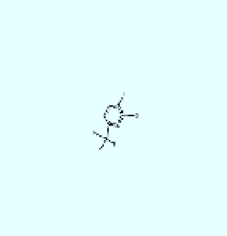 CC(F)(F)c1ncc(F)c(Cl)n1